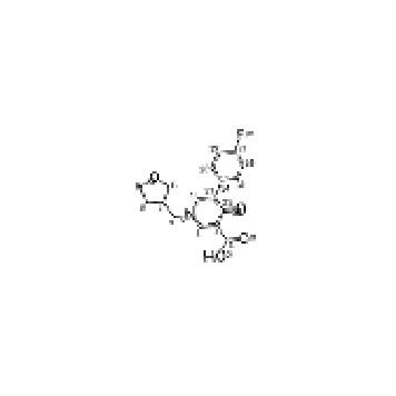 O=C(O)c1cn(CC2CCOC2)cc(-c2ccc(F)cc2)c1=O